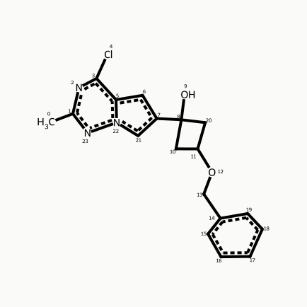 Cc1nc(Cl)c2cc(C3(O)CC(OCc4ccccc4)C3)cn2n1